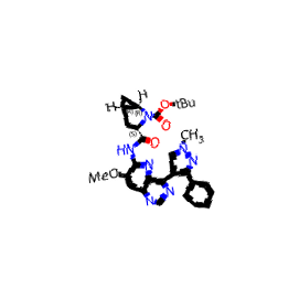 COc1cc2ncnc(-c3cn(C)nc3-c3ccccc3)c2nc1NC(=O)[C@@H]1C[C@H]2C[C@H]2N1C(=O)OC(C)(C)C